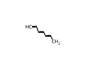 [CH]=CC=CC=C[CH2]